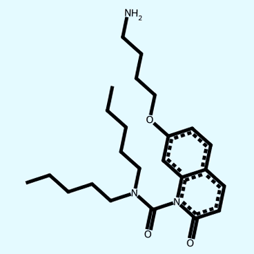 CCCCCN(CCCCC)C(=O)n1c(=O)ccc2ccc(OCCCCN)cc21